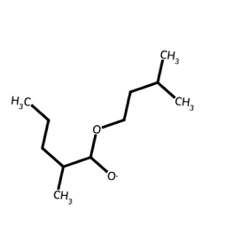 CCCC(C)C([O])OCCC(C)C